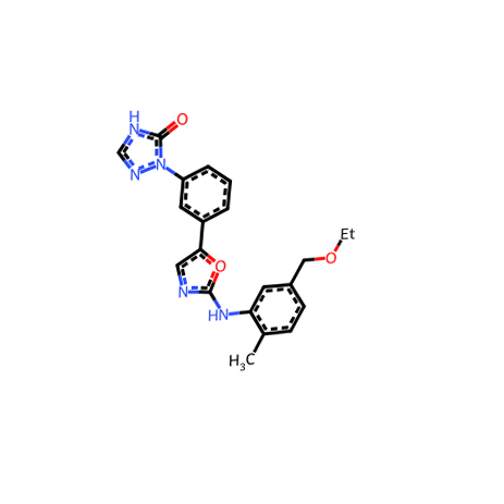 CCOCc1ccc(C)c(Nc2ncc(-c3cccc(-n4nc[nH]c4=O)c3)o2)c1